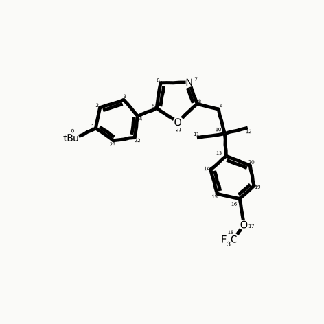 CC(C)(C)c1ccc(-c2cnc(CC(C)(C)c3ccc(OC(F)(F)F)cc3)o2)cc1